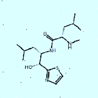 CN[C@@H](CC(C)C)C(=O)N[C@@H](CC(C)C)[C@@H](O)c1nccs1